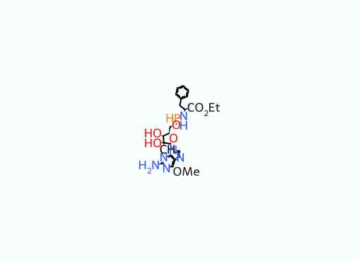 CCOC(=O)[C@H](Cc1ccccc1)NPOC[C@H]1O[C@@H](n2cnc3c(OC)nc(N)nc32)[C@](C)(O)[C@@H]1O